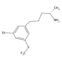 CCc1cc(CCC[C@H](C)N)cc(SC(F)(F)F)c1